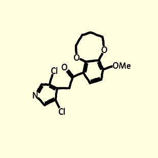 COc1ccc(C(=O)Cc2c(Cl)cncc2Cl)c2c1OCCCCO2